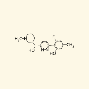 Cc1cc(O)c(-c2ccc(C(O)C3CCCN(C)C3)nn2)c(F)c1